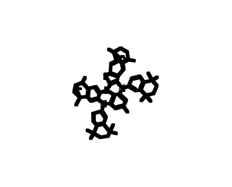 Cc1cc2c3c(c1)N(c1ccc4c(c1)C(C)(C)CCC4(C)C)c1c(sc4cc5c(cc14)C1(C)CCC5(C)CC1)B3c1cc3c(cc1N2c1ccc2c(c1)C(C)(C)CCC2(C)C)C1(C)CCC3(C)CC1